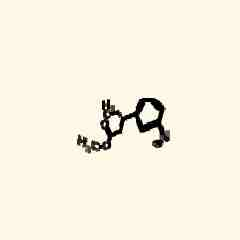 CC[C@@H](CC(=O)OC)c1cccc(N=O)c1